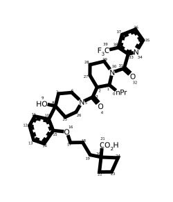 CCCC1C(C(=O)N2CCC(O)(c3ccccc3OCCCC3(C(=O)O)CCC3)CC2)CCCN1C(=O)c1ncccc1C(F)(F)F